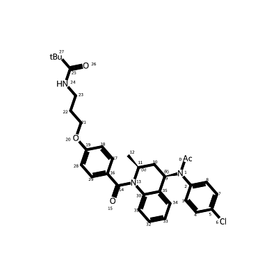 CC(=O)N(c1ccc(Cl)cc1)[C@@H]1C[C@H](C)N(C(=O)c2ccc(OCCCNC(=O)C(C)(C)C)cc2)c2ccccc21